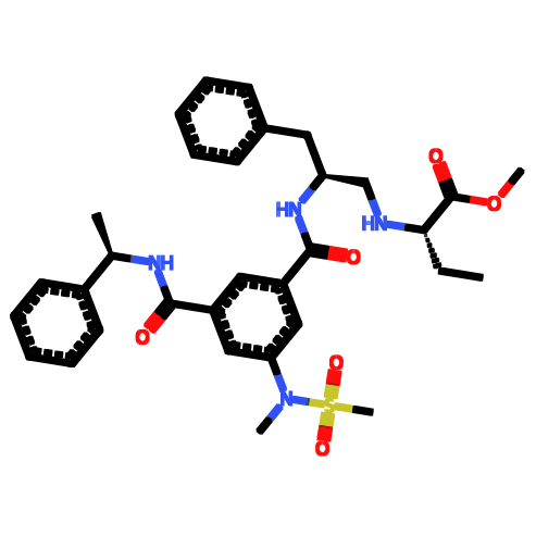 CC[C@H](NC[C@H](Cc1ccccc1)NC(=O)c1cc(C(=O)N[C@H](C)c2ccccc2)cc(N(C)S(C)(=O)=O)c1)C(=O)OC